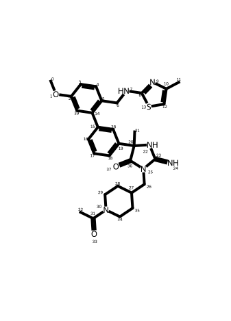 COc1ccc(CNc2nc(C)cs2)c(-c2cccc(C3(C)NC(=N)N(CC4CCN(C(C)=O)CC4)C3=O)c2)c1